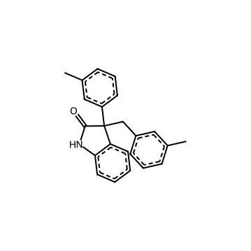 Cc1cccc(CC2(c3cccc(C)c3)C(=O)Nc3ccccc32)c1